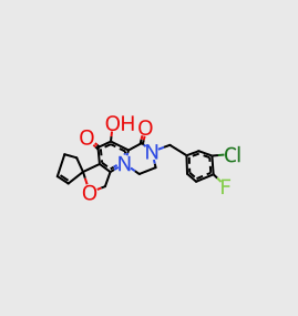 O=C1c2c(O)c(=O)c3c(n2CCN1Cc1ccc(F)c(Cl)c1)COC31C=CCC1